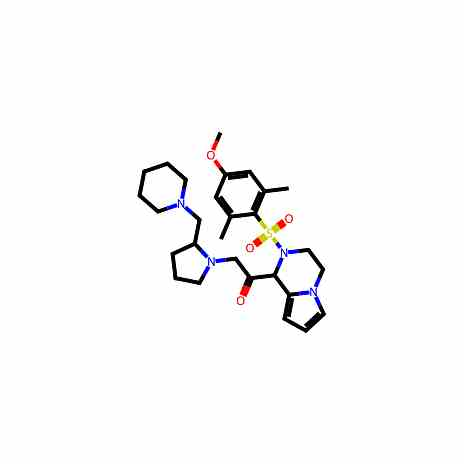 COc1cc(C)c(S(=O)(=O)N2CCn3cccc3C2C(=O)CN2CCCC2CN2CCCCC2)c(C)c1